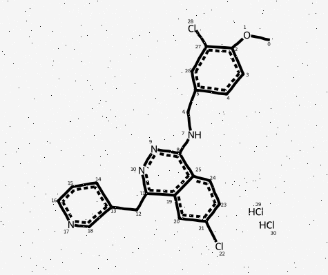 COc1ccc(CNc2nnc(Cc3cccnc3)c3cc(Cl)ccc23)cc1Cl.Cl.Cl